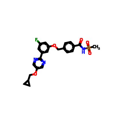 CS(=O)(=O)NC(=O)c1ccc(COc2cc(F)cc(-c3ncc(OCC4CC4)cn3)c2)cc1